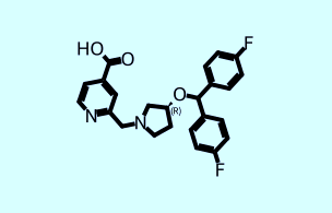 O=C(O)c1ccnc(CN2CC[C@@H](OC(c3ccc(F)cc3)c3ccc(F)cc3)C2)c1